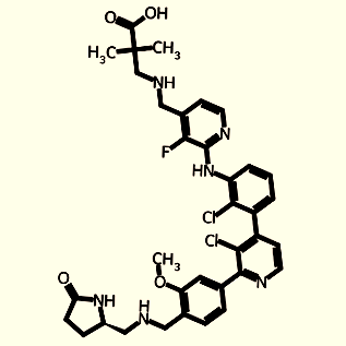 COc1cc(-c2nccc(-c3cccc(Nc4nccc(CNCC(C)(C)C(=O)O)c4F)c3Cl)c2Cl)ccc1CNC[C@H]1CCC(=O)N1